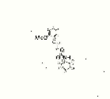 COc1ccccc1OCCOC(=O)Nc1ccccc1C